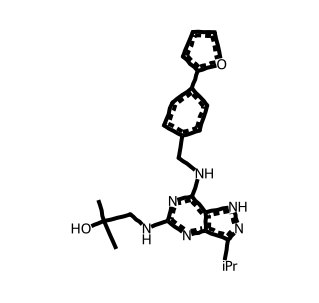 CC(C)c1n[nH]c2c(NCc3ccc(-c4ccco4)cc3)nc(NCC(C)(C)O)nc12